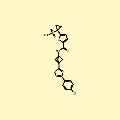 CS(=O)(=O)C1(c2ccc(C(=O)NC34CC(c5nc(-c6ccc(Cl)cc6)no5)(C3)C4)o2)CC1